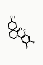 O=C1N(c2cc(F)c(F)cc2Cl)CCCC12CCC(O)CC2